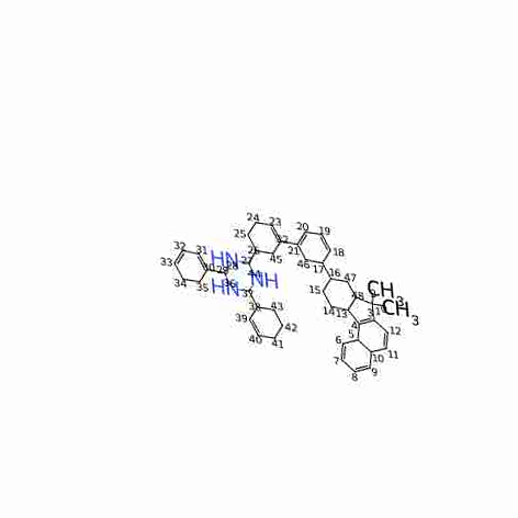 CC1(C)C2=C(C3C=CC=CC3C=C2)C2CCC(C3C=CC=C(C4=CCCC(C5NC(C6=CC=CCC6)NC(C6C=CCCC6)N5)C4)C3)CC21